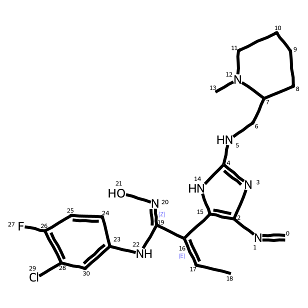 C=Nc1nc(NCC2CCCCN2C)[nH]c1C(=C\C)/C(=N/O)Nc1ccc(F)c(Cl)c1